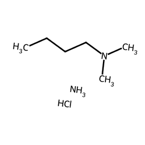 CCCCN(C)C.Cl.N